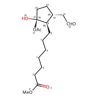 COC(=O)CCCCCC[C@@H]1[C@@H](CC=O)CC[C@]1(O)OC(C)=O